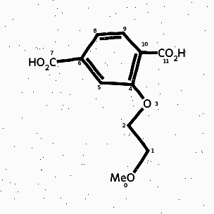 COCCOc1cc(C(=O)O)ccc1C(=O)O